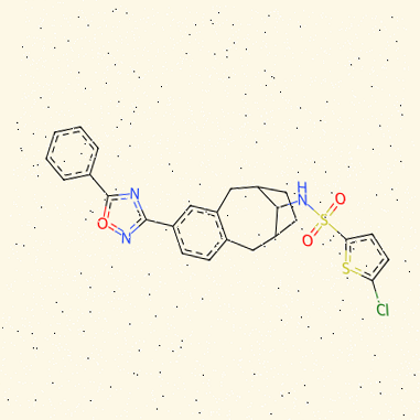 O=S(=O)(NC1C2CCC1Cc1cc(-c3noc(-c4ccccc4)n3)ccc1C2)c1ccc(Cl)s1